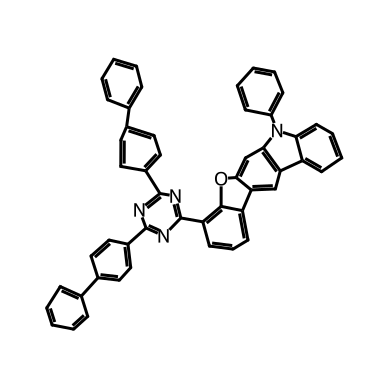 c1ccc(-c2ccc(-c3nc(-c4ccc(-c5ccccc5)cc4)nc(-c4cccc5c4oc4cc6c(cc45)c4ccccc4n6-c4ccccc4)n3)cc2)cc1